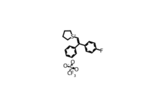 Fc1ccc(C(=C[S+]2CCCC2)c2ccccc2)cc1.O=S(=O)([O-])C(F)(F)F